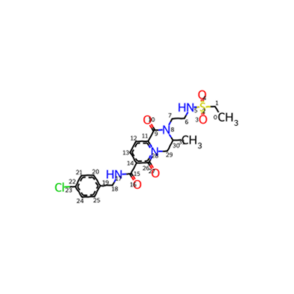 CCS(=O)(=O)NCCN1C(=O)c2ccc(C(=O)NCc3ccc(Cl)cc3)c(=O)n2CC1C